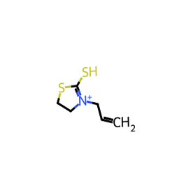 C=CC[N+]1=C(S)SCC1